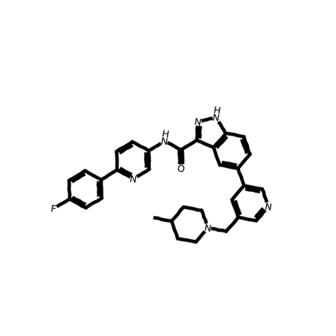 CC1CCN(Cc2cncc(-c3ccc4[nH]nc(C(=O)Nc5ccc(-c6ccc(F)cc6)nc5)c4c3)c2)CC1